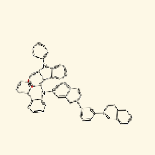 c1ccc(-c2ccccc2N(c2ccc3ccc(-c4cccc(-c5ccc6ccccc6c5)c4)cc3c2)c2cccc3c2c2ccccc2n3-c2ccccc2)cc1